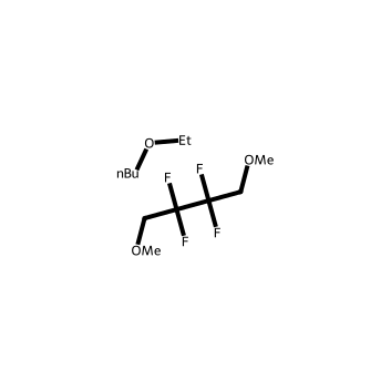 CCCCOCC.COCC(F)(F)C(F)(F)COC